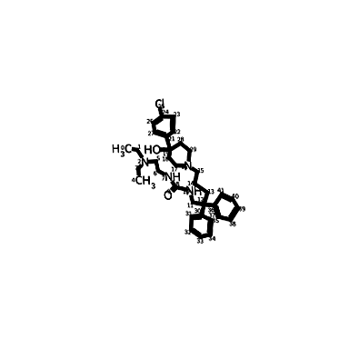 CCN(CC)CCNC(=O)NCC(CCCN1CCC(O)(c2ccc(Cl)cc2)CC1)(c1ccccc1)c1ccccc1